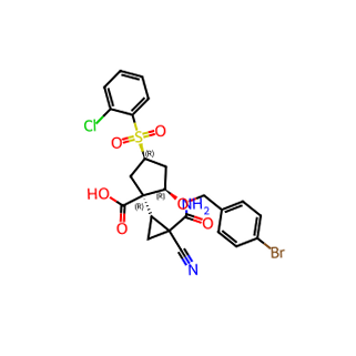 N#CC1(C(N)=O)CC1[C@]1(C(=O)O)C[C@@H](S(=O)(=O)c2ccccc2Cl)C[C@H]1OCc1ccc(Br)cc1